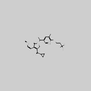 C=N/C=C\C1=C(C(=O)C2CC2)CN(C(C)c2cnc(OCCC(F)(F)F)c(C)c2)C1=O